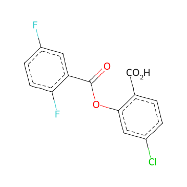 O=C(Oc1cc(Cl)ccc1C(=O)O)c1cc(F)ccc1F